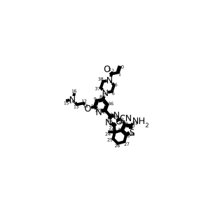 C=CC(=O)N1CCN(c2cc(OCCN(C)C)nc(-c3noc(C4(C)CCCc5sc(N)c(C#N)c54)n3)c2)CC1